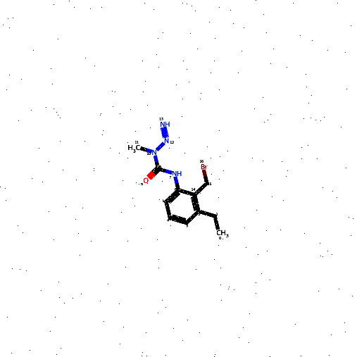 CCc1cccc(NC(=O)N(C)N=N)c1CBr